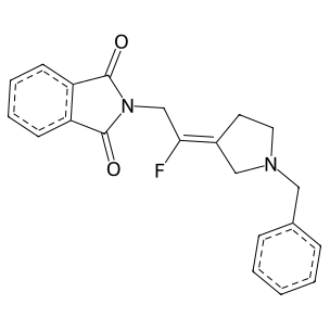 O=C1c2ccccc2C(=O)N1C/C(F)=C1\CCN(Cc2ccccc2)C1